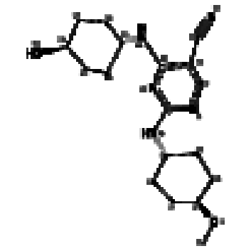 CO[C@H]1CC[C@H](Nc2ncc(C#N)c(N[C@H]3CC[C@H](O)CC3)n2)CC1